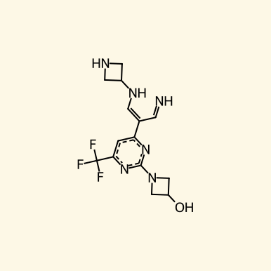 N=C/C(=C\NC1CNC1)c1cc(C(F)(F)F)nc(N2CC(O)C2)n1